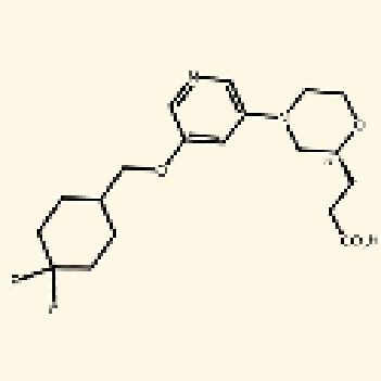 O=C(O)CC[C@H]1CN(c2cncc(OCC3CCC(F)(F)CC3)c2)CCO1